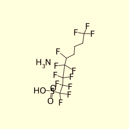 N.O=S(=O)(O)C(F)(F)C(F)(F)C(F)(F)C(F)(F)C(F)CCCC(F)(F)F